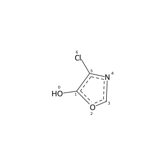 Oc1ocnc1Cl